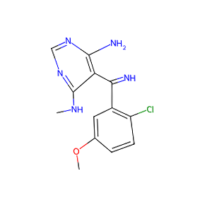 CNc1ncnc(N)c1C(=N)c1cc(OC)ccc1Cl